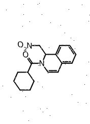 O=C(C1CCCCC1)N1C=Cc2ccccc2C1C[N+](=O)[O-]